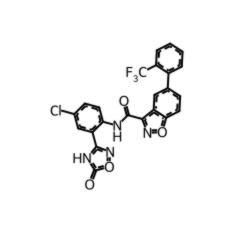 O=C(Nc1ccc(Cl)cc1-c1noc(=O)[nH]1)c1noc2ccc(-c3ccccc3C(F)(F)F)cc12